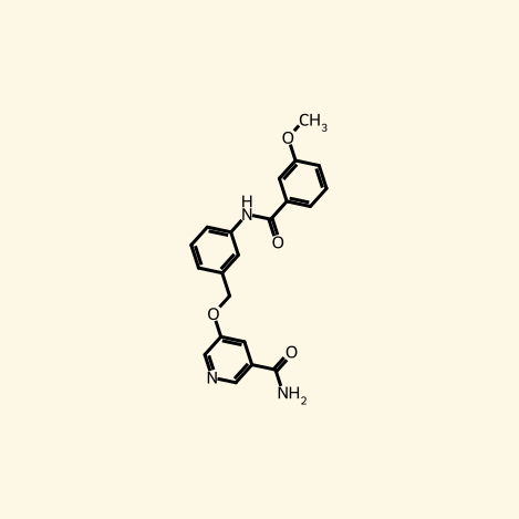 COc1cccc(C(=O)Nc2cccc(COc3cncc(C(N)=O)c3)c2)c1